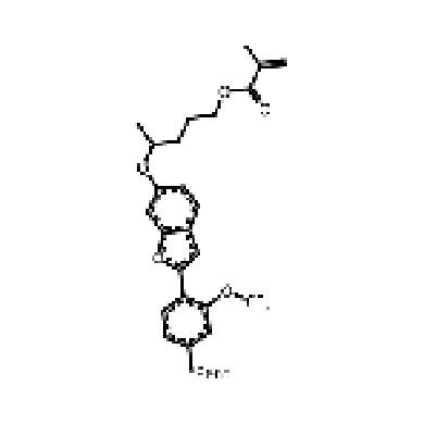 C=C(C)C(=O)OCCCC(C)Oc1ccc2cc(-c3ccc(CCCCC)cc3OC(F)(F)F)oc2c1